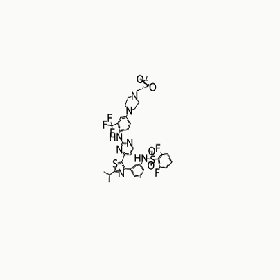 CC(C)c1nc(-c2cccc(NS(=O)(=O)c3c(F)cccc3F)c2)c(-c2ccnc(Nc3ccc(N4CCN(CCS(C)(=O)=O)CC4)cc3C(F)(F)F)n2)s1